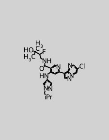 CC(C)Cn1cc(Nc2cc(-c3cnn4cc(Cl)cnc34)ncc2C(=O)NCC(F)C(C)(C)O)cn1